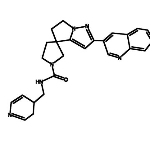 O=C(NCC1C=CN=CC1)N1CCC2(CCn3nc(-c4cnc5ccccc5c4)cc32)C1